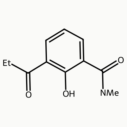 CCC(=O)c1cccc(C(=O)NC)c1O